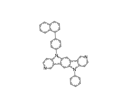 c1ccc(-n2c3ccncc3c3cc4c(cc32)c2cnccc2n4-c2ccc(-c3cccc4ccccc34)cc2)cc1